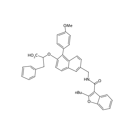 CCCCc1oc2ccccc2c1C(=O)NCc1ccc2c(-c3ccc(OC)cc3)c(OC(Cc3ccccc3)C(=O)O)ccc2c1